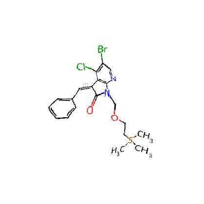 CS(C)(C)CCOCN1C(=O)/C(=C\c2ccccc2)c2c1ncc(Br)c2Cl